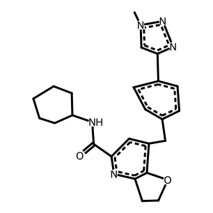 Cn1cc(-c2ccc(Cc3cc(C(=O)NC4CCCCC4)nc4c3OCC4)cc2)nn1